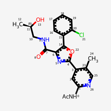 CC(=O)Nc1cc(-c2nc(C(=O)NC[C@@H](C)O)c(-c3ccccc3Cl)o2)c(C)cn1